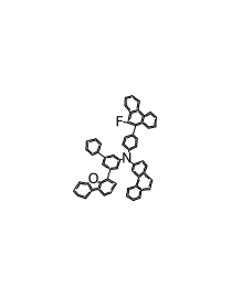 Fc1c(-c2ccc(N(c3cc(-c4ccccc4)cc(-c4cccc5c4oc4ccccc45)c3)c3ccc4ccc5ccccc5c4c3)cc2)c2ccccc2c2ccccc12